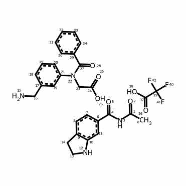 CC(=O)NC(=O)c1ccc2c(c1)NCC2.NCc1cccc(N(CC(=O)O)C(=O)c2ccccc2)c1.O=C(O)C(F)(F)F